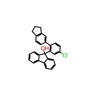 OC1(c2cc(Cl)ccc2-c2ccc3c(c2)CCC3)c2ccccc2-c2ccccc21